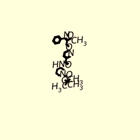 Cc1onc(-c2ccccc2)c1COc1ccc(C(=O)NC2CCCN(C(=O)OC(C)(C)C)C2)cn1